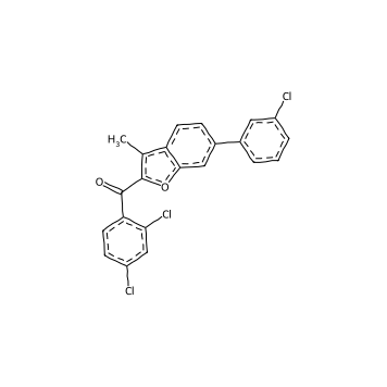 Cc1c(C(=O)c2ccc(Cl)cc2Cl)oc2cc(-c3cccc(Cl)c3)ccc12